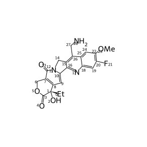 CC[C@@]1(O)C(=O)OCc2c1cc1n(c2=O)Cc2c-1nc1cc(F)c(OC)cc1c2CN